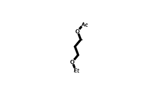 CCOCC[CH]OC(C)=O